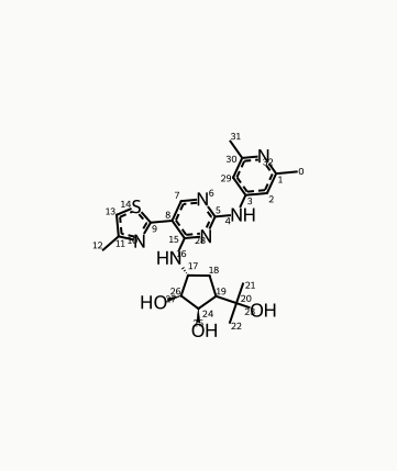 Cc1cc(Nc2ncc(-c3nc(C)cs3)c(N[C@@H]3CC(C(C)(C)O)[C@@H](O)[C@H]3O)n2)cc(C)n1